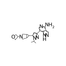 CC(C)n1nc(-c2cnc(N)c3cn[nH]c23)cc1C1C2CN(C3COC3)CC21